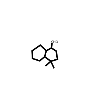 CC1(C)CCC(C=O)C2CCCCC21